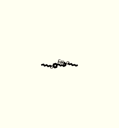 CCCCCCOc1ccc(C(=O)Cc2ccc(OCCCCCC)cn2)cc1.[Cu]